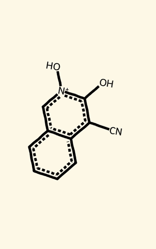 N#Cc1c(O)[n+](O)cc2ccccc12